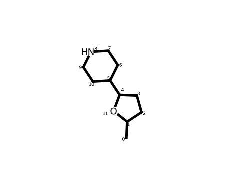 CC1CCC(C2CCNCC2)O1